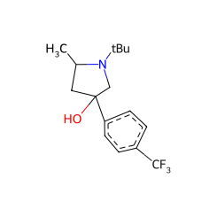 CC1CC(O)(c2ccc(C(F)(F)F)cc2)CN1C(C)(C)C